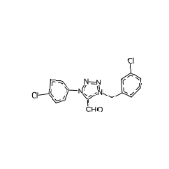 O=Cc1n(Cc2cccc(Cl)c2)nn[n+]1-c1ccc(Cl)cc1